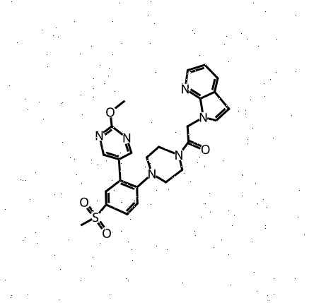 COc1ncc(-c2cc(S(C)(=O)=O)ccc2N2CCN(C(=O)Cn3ccc4cccnc43)CC2)cn1